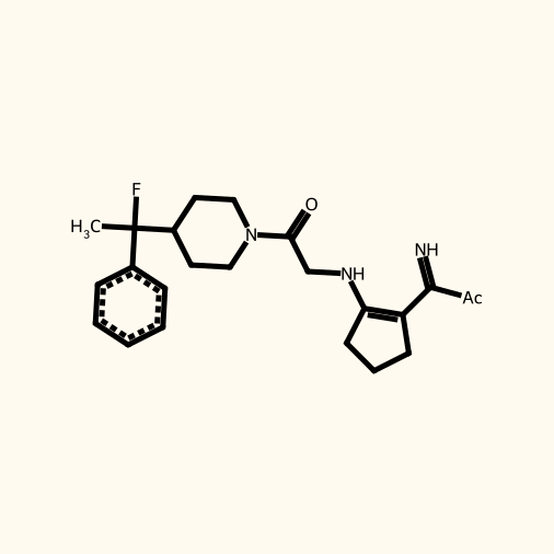 CC(=O)C(=N)C1=C(NCC(=O)N2CCC(C(C)(F)c3ccccc3)CC2)CCC1